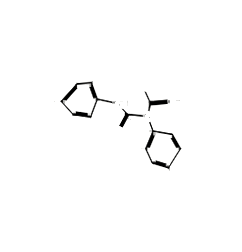 O=C(Cl)N(C(=O)Nc1ccccc1)c1ccccc1